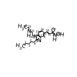 CCCCCc1nc2cc(C=CC(=O)NO)ccc2n1CCNCC